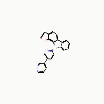 c1cncc(-c2ccc(-n3c4ccccc4c4ccc5ccoc5c43)nc2)c1